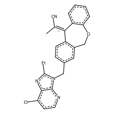 CCc1nc2c(Cl)ccnc2n1Cc1ccc2c(c1)COc1ccccc1/C2=C(/C)C#N